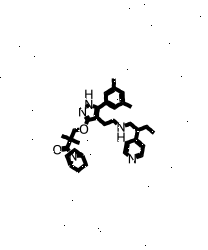 CCC(CNCCc1c(OCC(C)(C)C(=O)N2C3CCC2CC3)n[nH]c1-c1cc(C)cc(C)c1)c1ccncc1